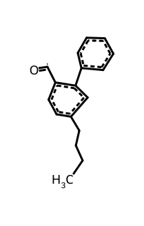 CCCCc1ccc([C]=O)c(-c2ccccc2)c1